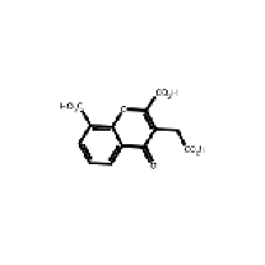 O=C(O)Cc1c(C(=O)O)oc2c(C(=O)O)cccc2c1=O